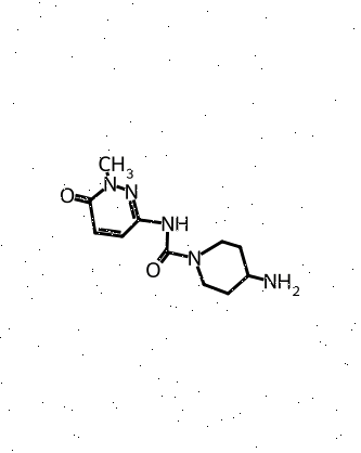 Cn1nc(NC(=O)N2CCC(N)CC2)ccc1=O